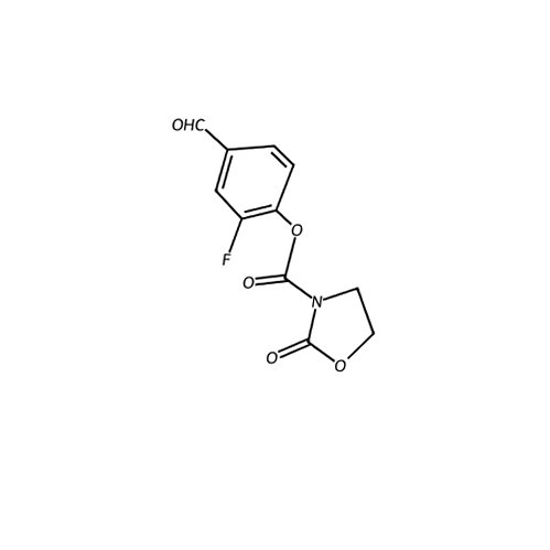 O=Cc1ccc(OC(=O)N2CCOC2=O)c(F)c1